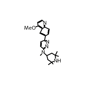 COc1ccnc2ccc(-c3ccc(N(C)C4CC(C)(C)NC(C)(C)C4)nn3)cc12